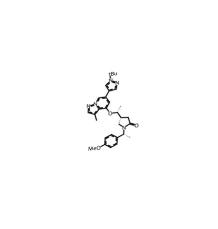 COc1ccc([C@@H](C)N2C[C@H]([C@@H](C)Oc3cc(-c4cnn(C(C)(C)C)c4)cn4ncc(C)c34)CC2=O)cc1